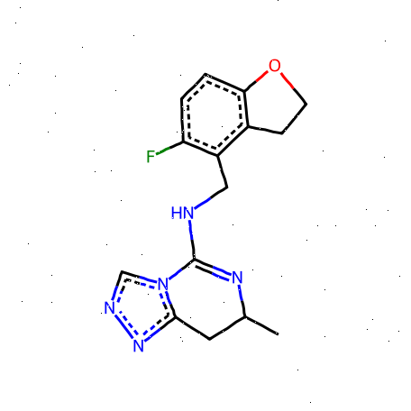 CC1Cc2nncn2C(NCc2c(F)ccc3c2CCO3)=N1